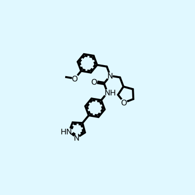 COc1cccc(CN(CC2CCOC2)C(=O)Nc2ccc(-c3cn[nH]c3)cc2)c1